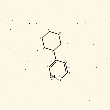 C/C=C(\C=C/S)C1CCCCC1